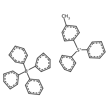 Cc1ccc([S+](c2ccccc2)c2ccccc2)cc1.c1ccc([B-](c2ccccc2)(c2ccccc2)c2ccccc2)cc1